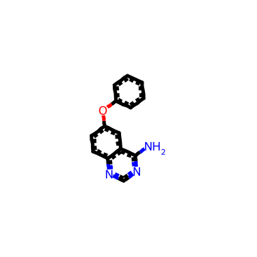 Nc1ncnc2ccc(Oc3ccccc3)cc12